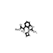 COC(=O)C(C)c1cccc2c1N(N1CCC1)C(C)S2